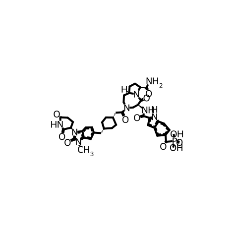 Cn1c(=O)n([C@@H]2CCC(=O)NC2=O)c2ccc(C[C@H]3CC[C@@H](CC(=O)N4CC[C@H]5CC[C@@H](C(N)=O)N5C(=O)[C@@H](NC(=O)c5cc6cc(C(=O)P(=O)(O)O)ccc6[nH]5)C4)CC3)cc21